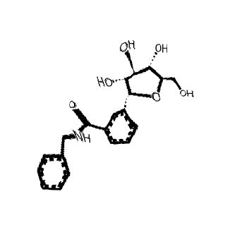 O=C(NCc1ccccc1)c1cccc([C@H]2O[C@H](CO)[C@@H](O)[C@H](O)[C@H]2O)c1